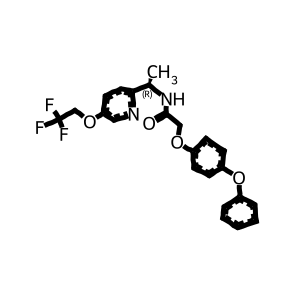 C[C@@H](NC(=O)COc1ccc(Oc2ccccc2)cc1)c1ccc(OCC(F)(F)F)cn1